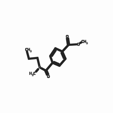 CCCN(C)C(=O)c1ccc(C(=O)OC)cc1